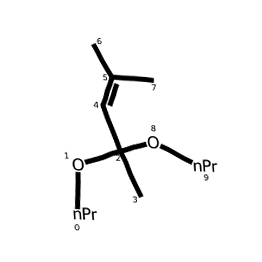 CCCOC(C)(C=C(C)C)OCCC